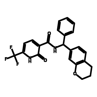 O=C(NC(c1ccccc1)c1ccc2c(c1)OCCC2)c1ccc(C(F)(F)F)[nH]c1=O